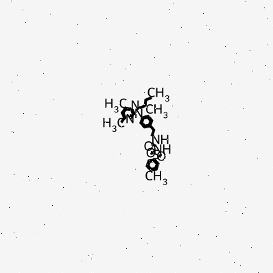 CCCC(C)c1nc2c(C)cc(C)nc2n1-c1ccc(CCNC(=O)NS(=O)(=O)c2ccc(C)cc2)cc1